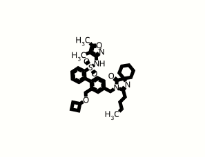 CCCCC1=NC2(CCCCC2)C(=O)N1Cc1ccc(-c2ccccc2S(=O)(=O)Nc2noc(C)c2C)c(COC2CCC2)c1